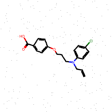 C=CCN(CCCOc1ccc(C(=O)O)cc1)c1ccc(Cl)cc1